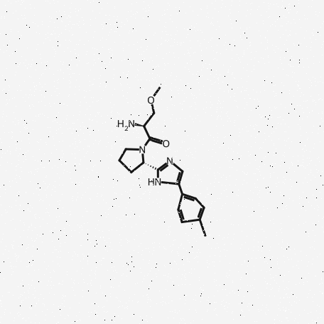 COC[C@H](N)C(=O)N1CCC[C@H]1c1ncc(-c2ccc(C)cc2)[nH]1